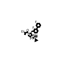 C=C(CC)C(=O)N1C[C@H](F)[C@H](NS(=O)(=O)C2CC2)[C@@H]1Cc1cccc(-c2cccc(F)c2)c1F